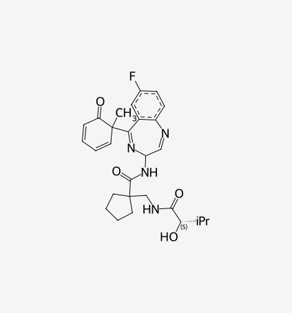 CC(C)[C@H](O)C(=O)NCC1(C(=O)NC2C=Nc3ccc(F)cc3C(C3(C)C=CC=CC3=O)=N2)CCCC1